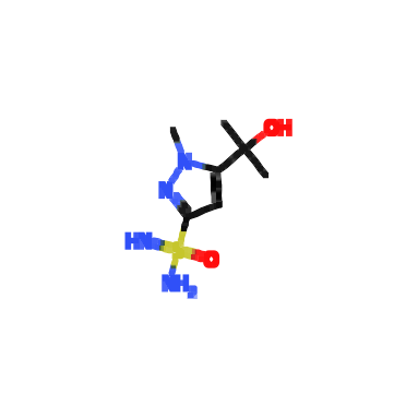 Cn1nc(S(=N)(N)=O)cc1C(C)(C)O